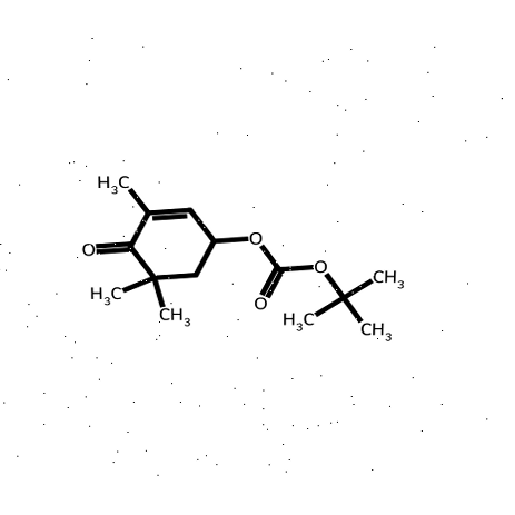 CC1=CC(OC(=O)OC(C)(C)C)CC(C)(C)C1=O